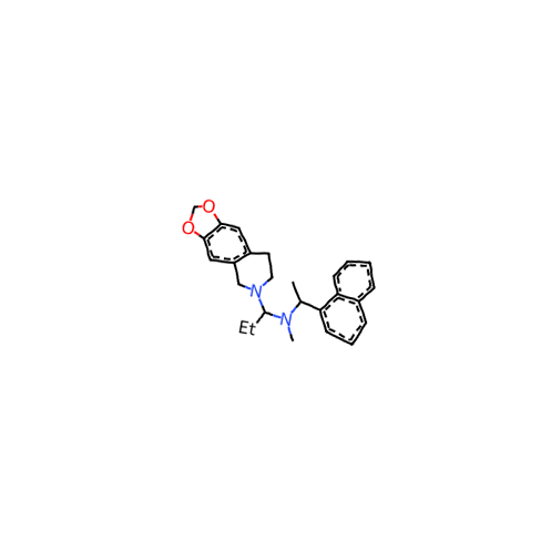 CCC(N1CCc2cc3c(cc2C1)OCO3)N(C)C(C)c1cccc2ccccc12